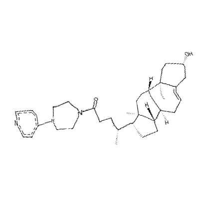 C[C@H](CCC(=O)N1CCN(c2ccncc2)CC1)[C@H]1CC[C@H]2[C@@H]3CC=C4C[C@@H](O)CC[C@]4(C)[C@H]3CC[C@]12C